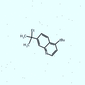 CCC(C)(C)c1ccc2c(C(C)(C)C)ccnc2c1